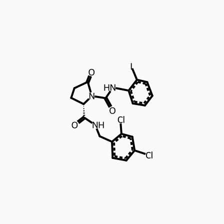 O=C(NCc1ccc(Cl)cc1Cl)[C@@H]1CCC(=O)N1C(=O)Nc1ccccc1I